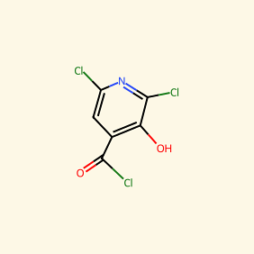 O=C(Cl)c1cc(Cl)nc(Cl)c1O